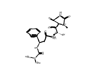 CCCCN(CCCC)C(=O)NC(CC(=O)N[C@H](C(=O)C1C(=O)NC(=O)[C@H]1C)C(C)C)c1ccccc1